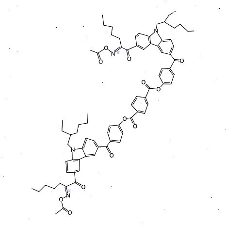 CCCCC/C(=N\OC(C)=O)C(=O)c1ccc2c(c1)c1cc(C(=O)c3ccc(OC(=O)c4ccc(C(=O)Oc5ccc(C(=O)c6ccc7c(c6)c6cc(C(=O)/C(CCCCC)=N/OC(C)=O)ccc6n7CC(CC)CCCC)cc5)cc4)cc3)ccc1n2CC(CC)CCCC